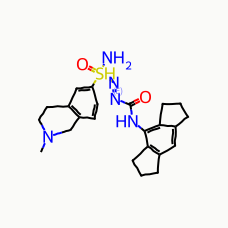 CN1CCc2cc([SH](N)(=O)/N=N/C(=O)Nc3c4c(cc5c3CCC5)CCC4)ccc2C1